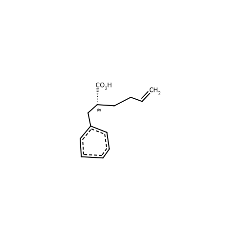 C=CCC[C@H](Cc1ccccc1)C(=O)O